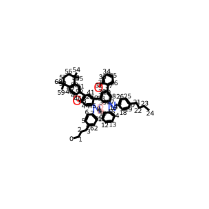 CCCCc1ccc(N2B3c4ccccc4N(c4ccc(CCCC)cc4)c4cc5c(oc6ccccc65)c(c43)-c3cc4c(cc32)oc2cc3c(cc24)C(C)(C)CCC3(C)C)cc1